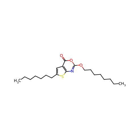 CCCCCCCCOc1nc2sc(CCCCCCC)cc2c(=O)o1